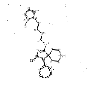 CCC(=O)N(c1ccccc1)C1(C(=O)OCSCCc2nccn2C)CCNCC1